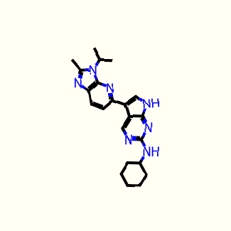 Cc1nc2ccc(-c3c[nH]c4nc(NC5CCCCC5)ncc34)nc2n1C(C)C